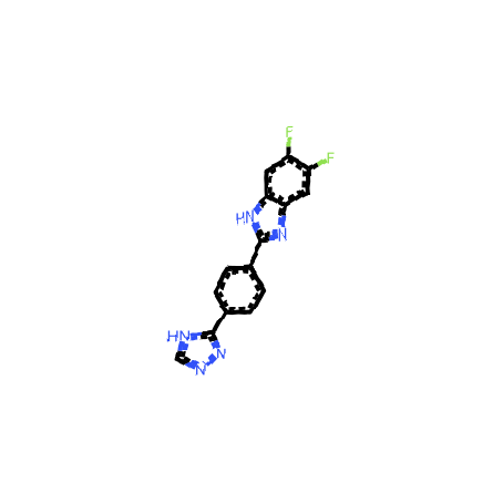 Fc1cc2nc(-c3ccc(-c4nnc[nH]4)cc3)[nH]c2cc1F